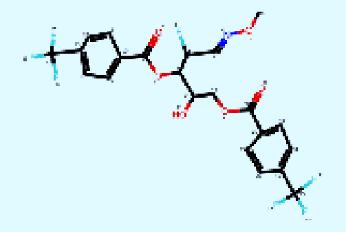 CON=CC(F)C(OC(=O)c1ccc(C(F)(F)F)cc1)C(O)COC(=O)c1ccc(C(F)(F)F)cc1